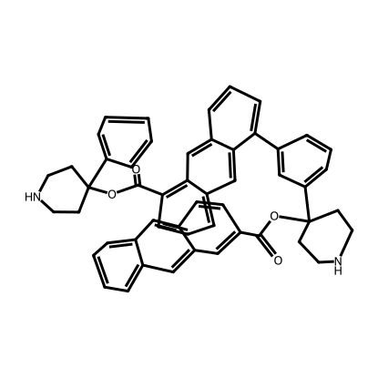 O=C(OC1(c2cccc(-c3cccc4cc5c(C(=O)OC6(c7ccccc7)CCNCC6)cccc5cc34)c2)CCNCC1)c1ccc2cc3ccccc3cc2c1